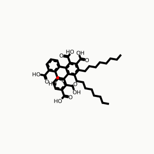 CCCCCCCCc1c(CCCCCCCC)c(-c2cccc(C(=O)O)c2C(=O)O)c(-c2cccc(C(=O)O)c2C(=O)O)c(C(=O)O)c1C(=O)O